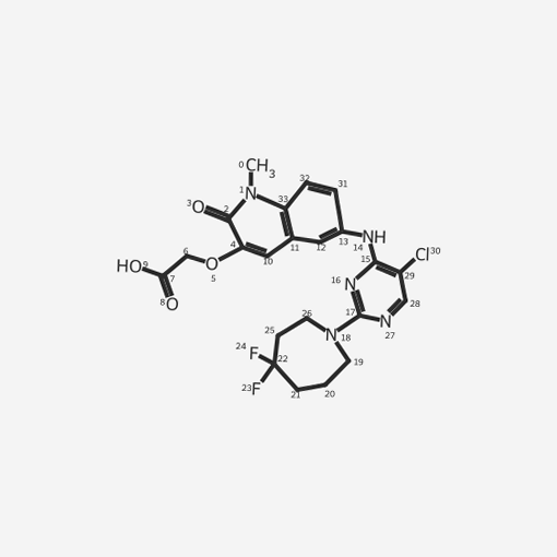 Cn1c(=O)c(OCC(=O)O)cc2cc(Nc3nc(N4CCCC(F)(F)CC4)ncc3Cl)ccc21